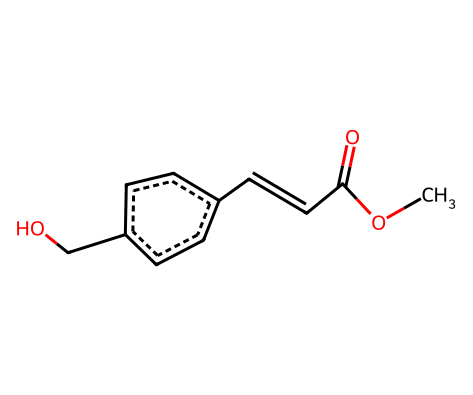 COC(=O)C=Cc1ccc(CO)cc1